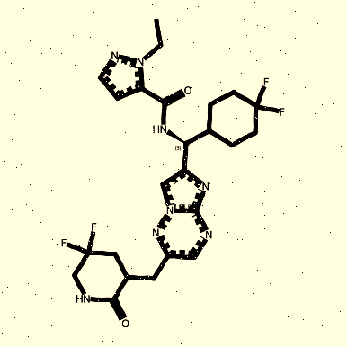 CCn1nccc1C(=O)N[C@H](c1cn2nc(CC3CC(F)(F)CNC3=O)cnc2n1)C1CCC(F)(F)CC1